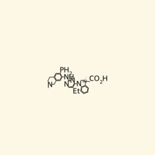 CCc1cnc(Nc2cc3c(cc2P)CCN(C)C3)nc1N1C[C@@](C)(CC(=O)O)c2ccccc21